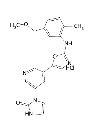 COCc1ccc(C)c(Nc2ncc(-c3cncc(-n4cc[nH]c4=O)c3)o2)c1.Cl